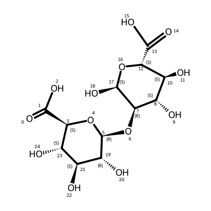 O=C(O)[C@H]1O[C@@H](O[C@@H]2[C@@H](O)[C@H](O)[C@@H](C(=O)O)O[C@@H]2O)[C@H](O)[C@@H](O)[C@@H]1O